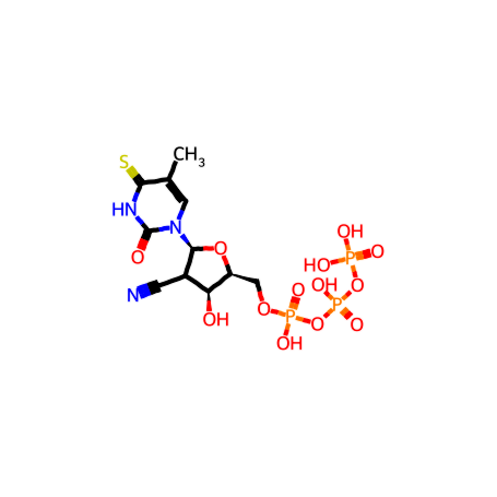 Cc1cn([C@H]2O[C@@H](COP(=O)(O)OP(=O)(O)OP(=O)(O)O)[C@@H](O)C2C#N)c(=O)[nH]c1=S